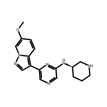 COc1ccc2c(-c3cncc(N[C@@H]4CCCNC4)n3)cnn2c1